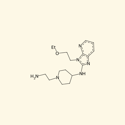 CCOCCn1c(NC2CCN(CCN)CC2)nc2cccnc21